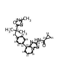 Cc1noc(C(C)(C)Cc2ccc(-c3cccn4nc(NC(=O)C5CC5)nc34)cc2)n1